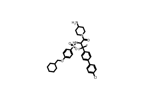 NC1CCN(C(=O)C(NS(=O)(=O)c2ccc(OCC3CCCCC3)cc2)C(F)(F)c2ccc(-c3ccc(Cl)cc3)cc2)CC1